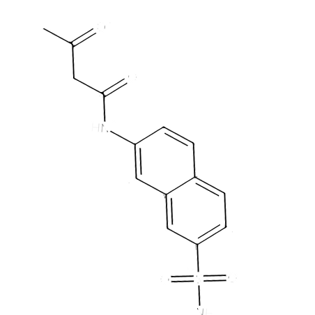 CC(=O)CC(=O)Nc1ccc2ccc(S(N)(=O)=O)cc2c1